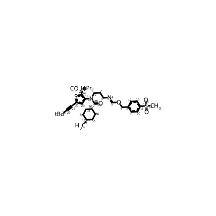 CCC[C@H](CCN=COCc1ccc(S(C)(=O)=O)cc1)N(c1cc(C#CC(C)(C)C)sc1C(=O)O)C(=O)[C@H]1CC[C@H](C)CC1